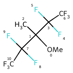 COC(C)(C(F)(F)C(F)(F)F)C(F)(F)C(F)(F)F